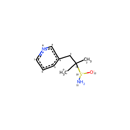 CC(C)(Cc1cccnc1)[S+](N)[O-]